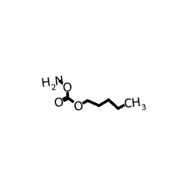 CCCCCOC(=O)ON